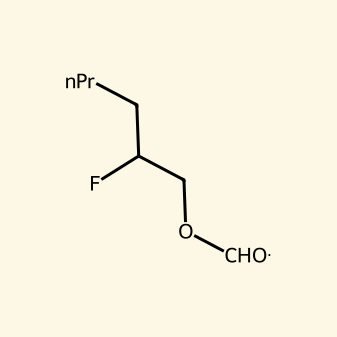 CCCCC(F)CO[C]=O